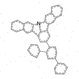 c1ccc(-c2ccc(-c3cc4c5cc6ccccc6cc5n5c6cc7ccccc7cc6c(c3)c45)c(-c3ccccc3)c2)cc1